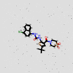 CC(C)(C)c1cc(C(=O)N2CCS(=O)(=O)CC2)c(NC(=O)Nc2ccc(Br)c3ccccc23)s1